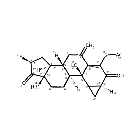 C=C1C[C@H]2[C@@H]3C[C@H](F)C(=O)[C@@]3(C)CC[C@@H]2[C@]2(C)C1=C(SC(C)=O)C(=O)[C@H]1CC12